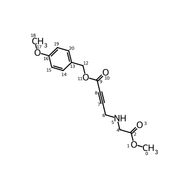 COC(=O)CNCC#CC(=O)OCc1ccc(OC)cc1